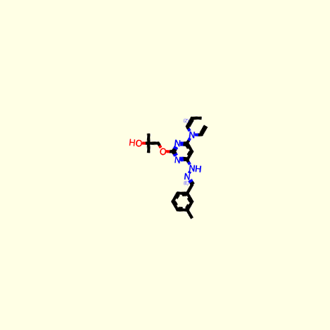 C=CN(/C=C\C)c1cc(N/N=C/c2cccc(C)c2)nc(OCC(C)(C)O)n1